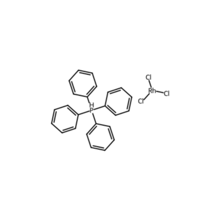 [Cl][Rh]([Cl])[Cl].c1ccc([PH](c2ccccc2)(c2ccccc2)c2ccccc2)cc1